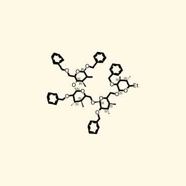 CCC1O[C@H](OCC2O[C@H](OCC3O[C@@H](O[C@@H]4C(COCc5ccccc5)O[C@@H](OCc5ccccc5)C(C)[C@H]4C)C(OCc4ccccc4)[C@@H](C)[C@@H]3C)C(OCc3ccccc3)[C@@H](C)[C@@H]2C)C(OCc2ccccc2)[C@@H](C)[C@@H]1C